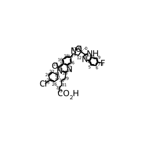 C[C@]1(c2nc3ccc(F)cc3[nH]2)CC(c2ccc3c(=O)n(C4C=CC(Cl)=CC4)c(CCCCC(=O)O)nc3c2)=NO1